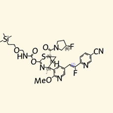 COc1ncc(/C=C(\F)c2ccc(C#N)cn2)cc1[C@@]1(C)N=C(OC(=O)NCOCC[Si](C)(C)C)S[C@@]2(C(=O)N3CC[C@@H](F)C3)C[C@H]21